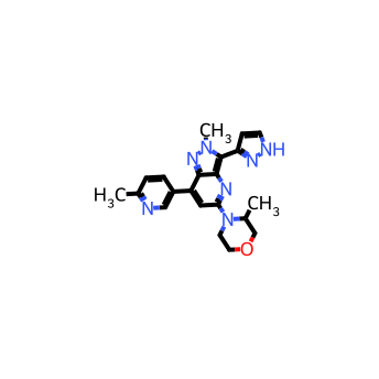 Cc1ccc(-c2cc(N3CCOCC3C)nc3c(-c4cc[nH]n4)n(C)nc23)cn1